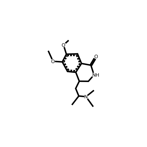 COc1cc2c(cc1OC)C(CC(C)N(C)C)CNC2=O